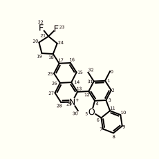 Cc1cc2c(oc3ccccc32)c(-c2c3ccc(C4CCC(F)(F)C4)cc3cc[n+]2C)c1C